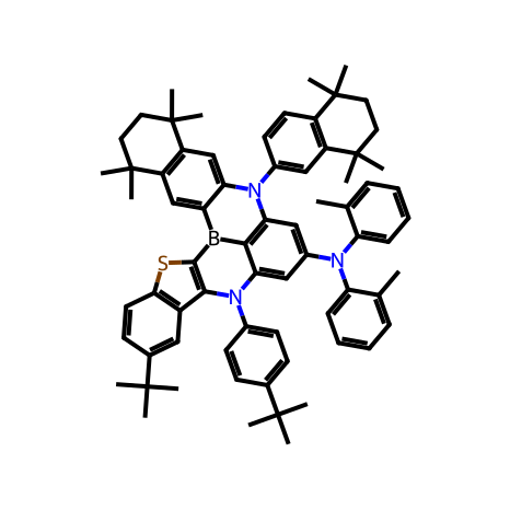 Cc1ccccc1N(c1cc2c3c(c1)N(c1ccc(C(C)(C)C)cc1)c1c(sc4ccc(C(C)(C)C)cc14)B3c1cc3c(cc1N2c1ccc2c(c1)C(C)(C)CCC2(C)C)C(C)(C)CCC3(C)C)c1ccccc1C